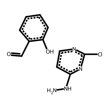 NNc1ccnc(Cl)n1.O=Cc1ccccc1O